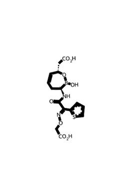 O=C(O)CO/N=C(/C(=O)N[C@H]1CC=C[C@H](CC(=O)O)OB1O)c1cccs1